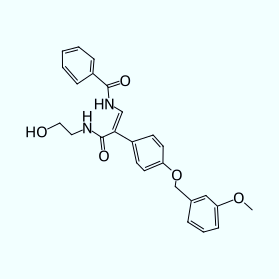 COc1cccc(COc2ccc(C(=CNC(=O)c3ccccc3)C(=O)NCCO)cc2)c1